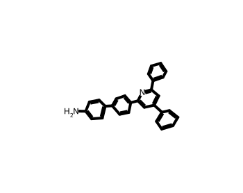 Nc1ccc(-c2ccc(-c3cc(-c4ccccc4)cc(-c4ccccc4)n3)cc2)cc1